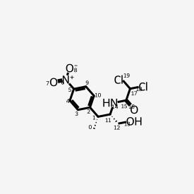 C[C@H](c1ccc([N+](=O)[O-])cc1)[C@@H](CO)NC(=O)C(Cl)Cl